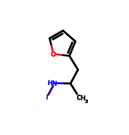 CC(Cc1ccco1)NI